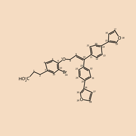 O=C(O)CCc1ccc(OCC=C(c2ccc(-c3ccoc3)cc2)c2ccc(-c3ccoc3)cc2)c(Br)c1